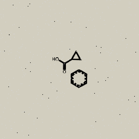 O=C(O)C1CC1.c1ccccc1